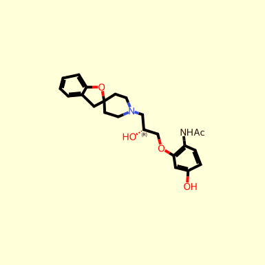 CC(=O)Nc1ccc(O)cc1OC[C@H](O)CN1CCC2(CC1)Cc1ccccc1O2